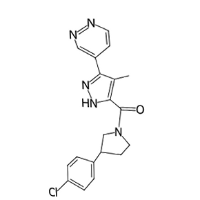 Cc1c(-c2ccnnc2)n[nH]c1C(=O)N1CCC(c2ccc(Cl)cc2)C1